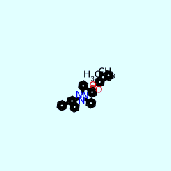 CC1(C)c2ccccc2-c2cc3c(cc21)Oc1c(cccc1-c1ccccc1-c1nc(-c2ccccc2)nc(-c2ccc(-c4ccccc4)c4ccccc24)n1)O3